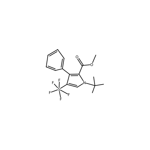 COC(=O)c1c(-c2ccccc2)c(S(F)(F)(F)(F)F)cn1C(C)(C)C